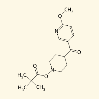 COc1ccc(C(=O)C2CCN(OC(=O)C(C)(C)C)CC2)cn1